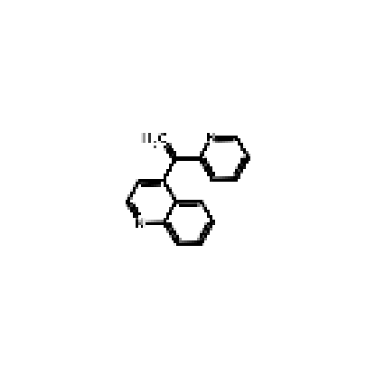 C=C(c1ccccn1)c1ccnc2ccccc12